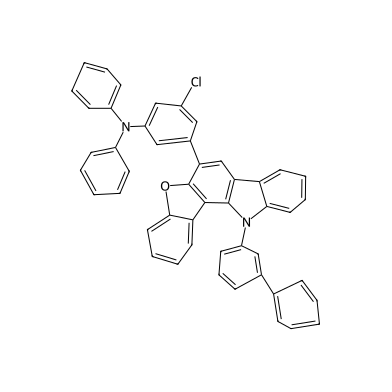 Clc1cc(-c2cc3c4ccccc4n(-c4cccc(-c5ccccc5)c4)c3c3c2oc2ccccc23)cc(N(c2ccccc2)c2ccccc2)c1